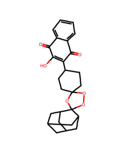 O=C1C(O)=C(C2CCC3(CC2)OOC2(O3)C3CC4CC(C3)CC2C4)C(=O)c2ccccc21